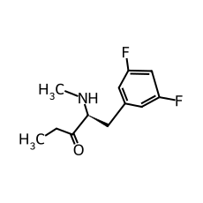 CCC(=O)[C@H](Cc1cc(F)cc(F)c1)NC